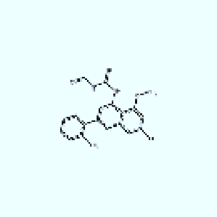 COc1cc(Cl)cc2nc(-c3ccccc3C)cc(NC(=N)NC=O)c12